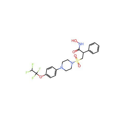 O=C(NO)C(CS(=O)(=O)N1CCN(c2ccc(OC(F)(F)C(F)F)cc2)CC1)c1ccccc1